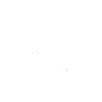 N#Cc1ccc(F)c2c1CNC2